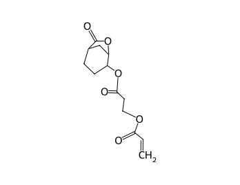 C=CC(=O)OCCC(=O)OC1CCC2CC1OC2=O